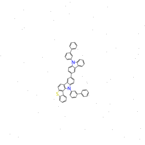 c1ccc(-c2cccc(-n3c4ccccc4c4cc(-c5ccc6c(c5)c5ccc7sc8ccccc8c7c5n6-c5cccc(-c6ccccc6)c5)ccc43)c2)cc1